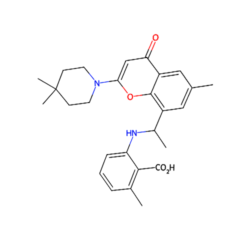 Cc1cc(C(C)Nc2cccc(C)c2C(=O)O)c2oc(N3CCC(C)(C)CC3)cc(=O)c2c1